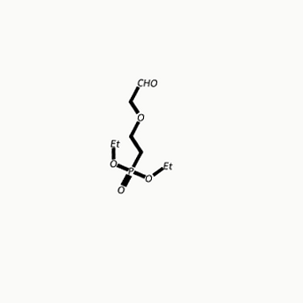 CCOP(=O)(CCOCC=O)OCC